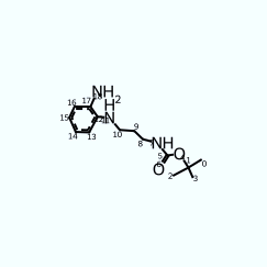 CC(C)(C)OC(=O)NCCCNc1ccccc1N